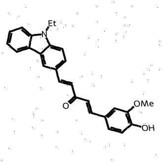 CCn1c2ccccc2c2cc(/C=C/C(=O)/C=C/c3ccc(O)c(OC)c3)ccc21